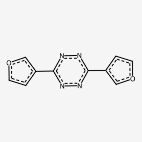 c1cc(-c2nnc(-c3ccoc3)nn2)co1